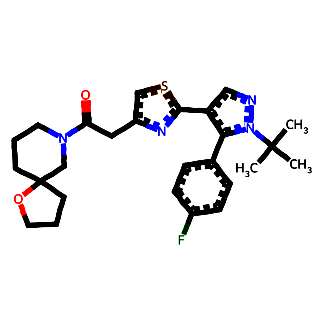 CC(C)(C)n1ncc(-c2nc(CC(=O)N3CCCC4(CCCO4)C3)cs2)c1-c1ccc(F)cc1